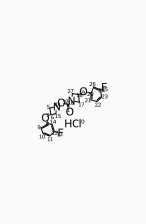 Cl.O=C(ON1CC(Oc2cccc(F)c2)C1)N1CC(Oc2cccc(F)c2)C1